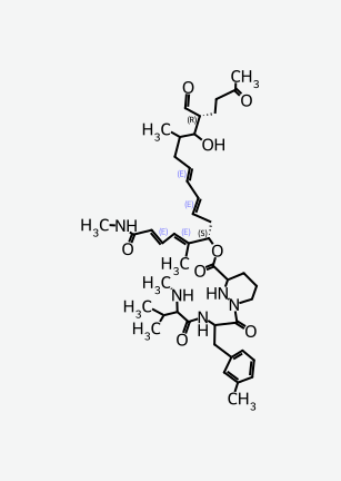 CNC(=O)/C=C/C=C(\C)[C@H](C/C=C/C=C/CC(C)C(O)[C@H](C=O)CCC(C)=O)OC(=O)C1CCCN(C(=O)C(Cc2cccc(C)c2)NC(=O)C(NC)C(C)C)N1